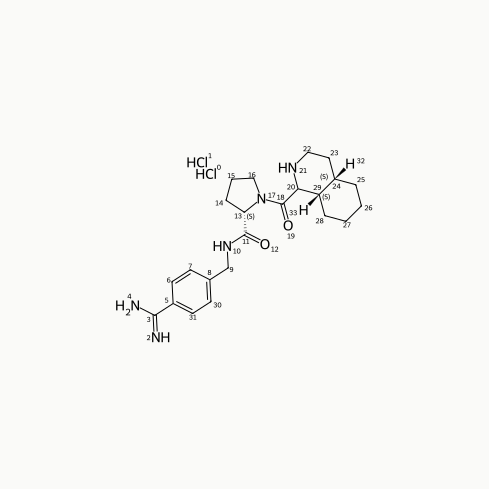 Cl.Cl.N=C(N)c1ccc(CNC(=O)[C@@H]2CCCN2C(=O)C2NCC[C@@H]3CCCC[C@H]23)cc1